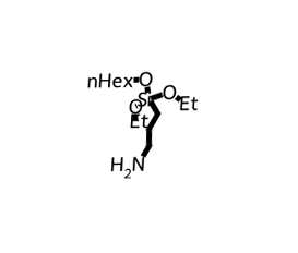 CCCCCCO[Si](CCCN)(OCC)OCC